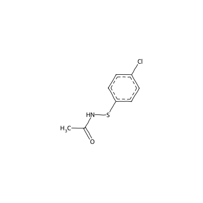 CC(=O)NSc1ccc(Cl)cc1